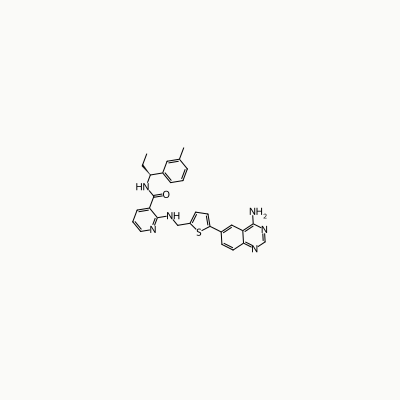 CC[C@H](NC(=O)c1cccnc1NCc1ccc(-c2ccc3ncnc(N)c3c2)s1)c1cccc(C)c1